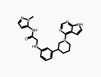 Cn1nccc1NC(=O)CNc1cccc(C2CCCN(c3ncnc4[nH]ccc34)C2)c1